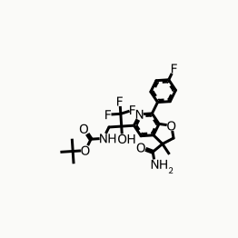 CC(C)(C)OC(=O)NCC(O)(c1cc2c(c(-c3ccc(F)cc3)n1)OCC2(C)C(N)=O)C(F)(F)F